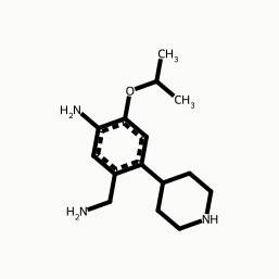 CC(C)Oc1cc(C2CCNCC2)c(CN)cc1N